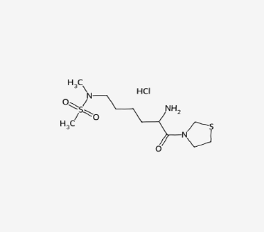 CN(CCCCC(N)C(=O)N1CCSC1)S(C)(=O)=O.Cl